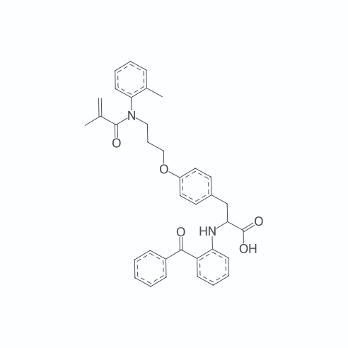 C=C(C)C(=O)N(CCCOc1ccc(CC(Nc2ccccc2C(=O)c2ccccc2)C(=O)O)cc1)c1ccccc1C